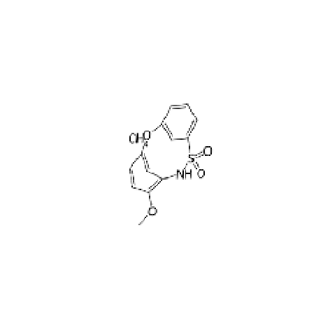 C.COc1ccc2cc1NS(=O)(=O)c1cccc(c1)O2